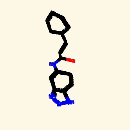 O=C(C=Cc1ccccc1)Nc1ccc2[nH]nnc2c1